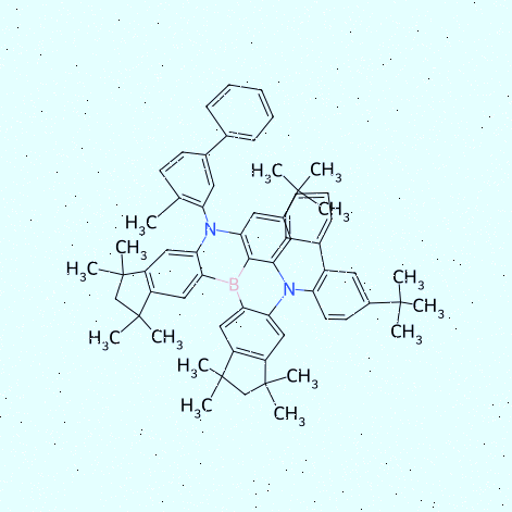 Cc1ccc(-c2ccccc2)cc1N1c2cc3c(cc2B2c4cc5c(cc4N(c4ccc(C(C)(C)C)cc4-c4ccccc4)c4cc(C(C)(C)C)cc1c42)C(C)(C)CC5(C)C)C(C)(C)CC3(C)C